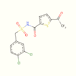 O=C(NS(=O)(=O)Cc1ccc(Cl)c(Cl)c1)c1ccc(C(=O)C(F)(F)F)s1